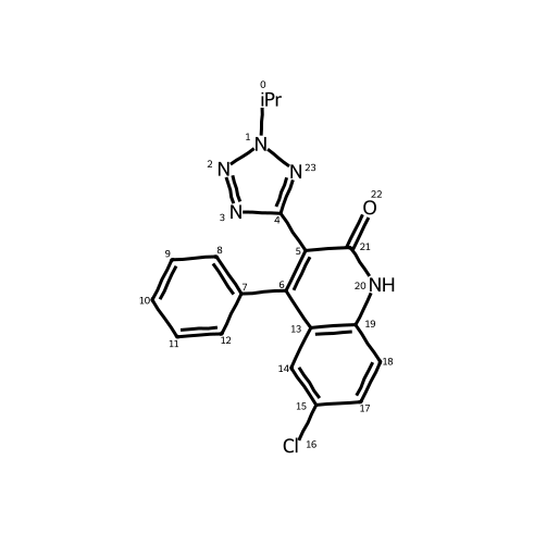 CC(C)n1nnc(-c2c(-c3ccccc3)c3cc(Cl)ccc3[nH]c2=O)n1